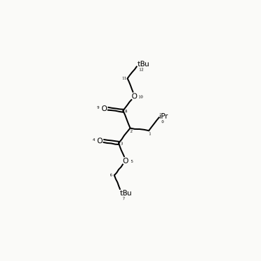 CC(C)CC(C(=O)OCC(C)(C)C)C(=O)OCC(C)(C)C